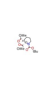 COC(=O)[C@@H]1[C@H](C(=O)OC)CCCN1C(=O)OC(C)(C)C